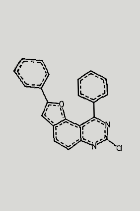 Clc1nc(-c2ccccc2)c2c(ccc3cc(-c4ccccc4)oc32)n1